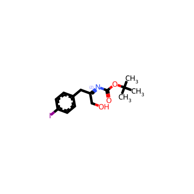 CC(C)(C)OC(=O)/N=C(\CO)Cc1ccc(I)cc1